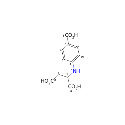 O=C(O)CC(Nc1ccc(C(=O)O)cc1)C(=O)O